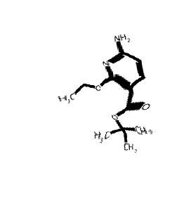 CCOc1nc(N)ccc1C(=O)OC(C)(C)C